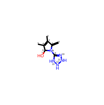 C=C1C(C)=C(C)C(O)N1C1=NNNN1